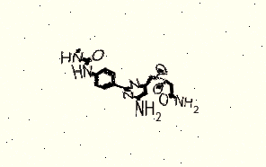 CNC(=O)Nc1ccc(-c2nc(N)cc(CS(=O)(=O)CC(N)=O)n2)cc1